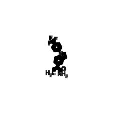 C=CC(C(N)=O)c1ccc2c(ccn2-c2ccc(C(F)(F)F)cc2)c1